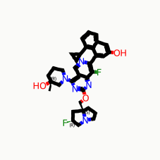 C[C@@]1(O)CCCN(c2nc(OC[C@@]34CCCN3C[C@H](F)C4)nc3c(F)c(-c4cc(O)cc5cccc(C6CC6)c45)ncc23)C1